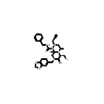 C#CCN1CC(=O)N2[C@@H](CC(C)C)C(=O)N(Cc3ccc4c(c3)OCO4)C[C@@H]2N1C(=O)NCc1ccccc1